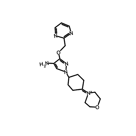 Nc1cn(C2CCC(=[N+]3CCOCC3)CC2)nc1OCc1ncccn1